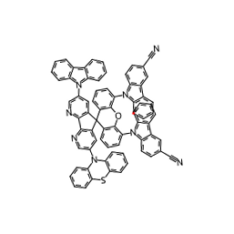 N#Cc1ccc2c(c1)c1ccccc1n2-c1cccc2c1Oc1c(-n3c4ccccc4c4cc(C#N)ccc43)cccc1C21c2cc(N3c4ccccc4Sc4ccccc43)cnc2-c2ncc(-n3c4ccccc4c4ccccc43)cc21